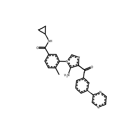 Cc1ccc(C(=O)NC2CC2)cc1-n1cnc(C(=O)c2cccc(-c3cnccn3)c2)c1N